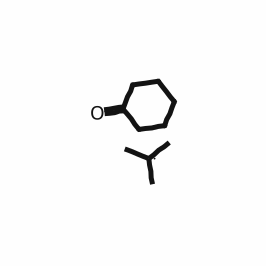 C[C](C)C.O=C1CCCCC1